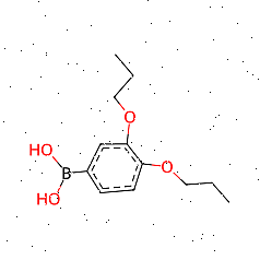 CCCOc1ccc(B(O)O)cc1OCCC